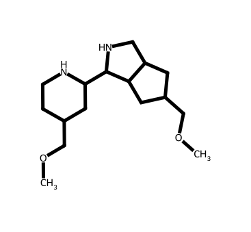 COCC1CCNC(C2NCC3CC(COC)CC32)C1